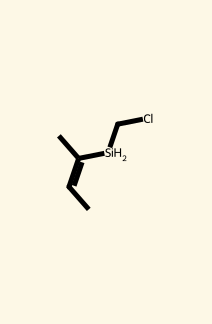 CC=C(C)[SiH2]CCl